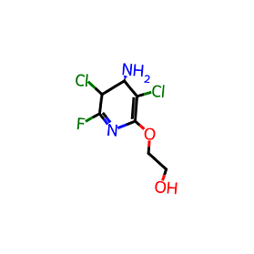 N[C@@H]1C(Cl)=C(OCCO)N=C(F)C1Cl